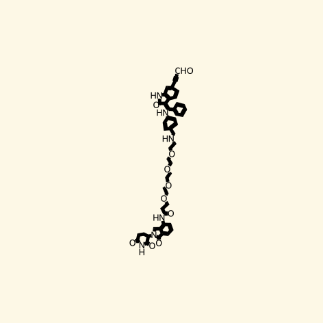 O=CC#Cc1ccc2c(c1)NC(=O)/C2=C(\Nc1ccc(CNCCOCCOCCOCCOCCC(=O)Nc2cccc3c2CN(C2CCC(=O)NC2=O)C3=O)cc1)c1ccccc1